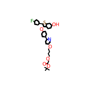 CC(C)(C)OC(=O)COCCCCOc1ccc(-c2ccc(Oc3c(-c4ccc(F)cc4)sc4cc(O)ccc34)cc2)nc1